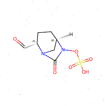 O=C[C@@H]1CC[C@@H]2CN1C(=O)N2OS(=O)(=O)O